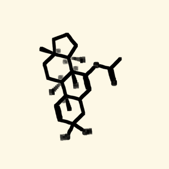 CC(=O)OC1=CC2CC(O)(O)C=C[C@]2(C)[C@H]2CC[C@]3(C)CCC[C@H]3[C@H]12